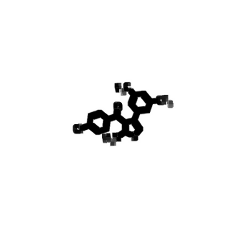 Nc1scc(-c2cc(C(F)(F)F)cc(C(F)(F)F)c2)c1C(=O)c1ccc(Cl)cc1